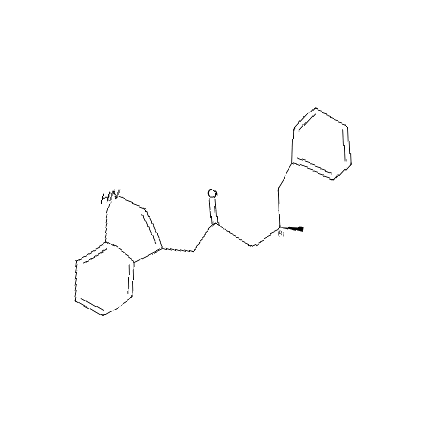 C[C@@H](CC(=O)Cc1c[nH]c2ccccc12)Cc1ccccc1